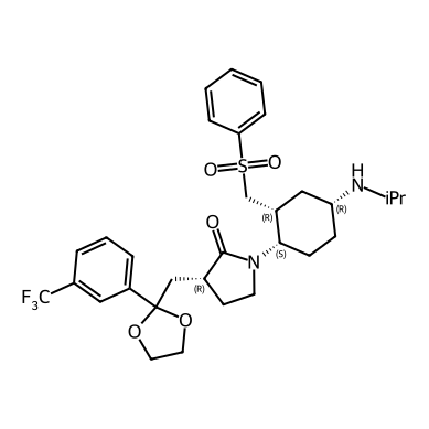 CC(C)N[C@@H]1CC[C@H](N2CC[C@H](CC3(c4cccc(C(F)(F)F)c4)OCCO3)C2=O)[C@H](CS(=O)(=O)c2ccccc2)C1